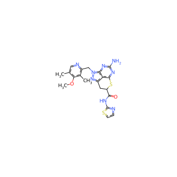 COc1c(C)cnc(Cn2nc3c4c(nc(N)nc42)SC(C(=O)Nc2nccs2)C3)c1C